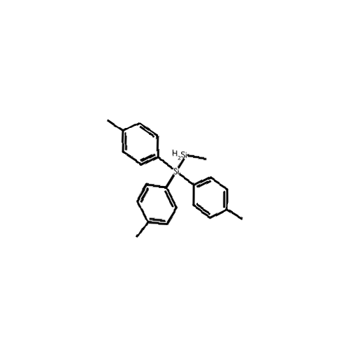 C[SiH2][Si](c1ccc(C)cc1)(c1ccc(C)cc1)c1ccc(C)cc1